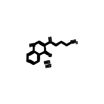 Cl.Cl.NCCCNc1c[nH]c2ccccc2c1=O